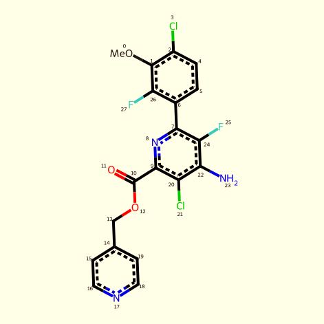 COc1c(Cl)ccc(-c2nc(C(=O)OCc3ccncc3)c(Cl)c(N)c2F)c1F